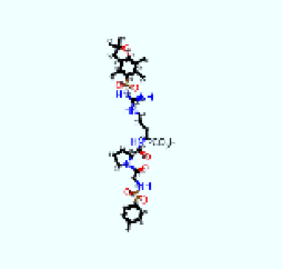 Cc1ccc(S(=O)(=O)NCC(=O)N2CCC[C@H]2C(=O)N[C@@H](CCCNC(=N)NS(=O)(=O)c2c(C)c(C)c3c(c2C)CC(C)(C)O3)C(=O)O)cc1